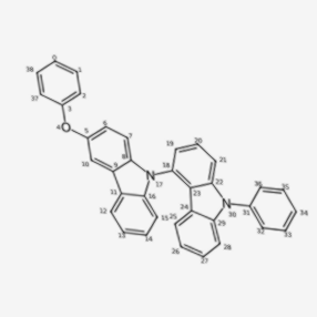 c1ccc(Oc2ccc3c(c2)c2ccccc2n3-c2cccc3c2c2ccccc2n3-c2ccccc2)cc1